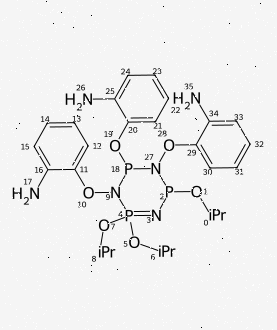 CC(C)OP1N=P(OC(C)C)(OC(C)C)N(Oc2ccccc2N)P(Oc2ccccc2N)N1Oc1ccccc1N